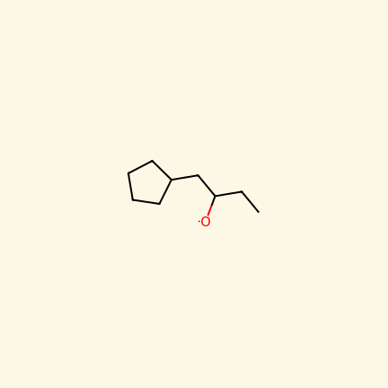 CCC([O])CC1CCCC1